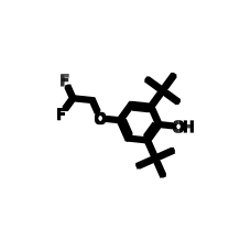 CC(C)(C)c1cc(OCC(F)F)cc(C(C)(C)C)c1O